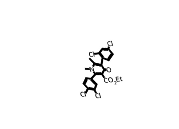 CCOC(=O)c1c(-c2ccc(Cl)c(Cl)c2)n(C)c(C)c(-c2ccc(Cl)cc2Cl)c1=O